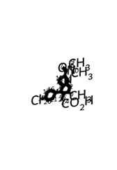 Cc1cc2nc(C(=O)N(C)C)ccc2c(-c2ccc(Cl)cc2)c1CC(=O)O